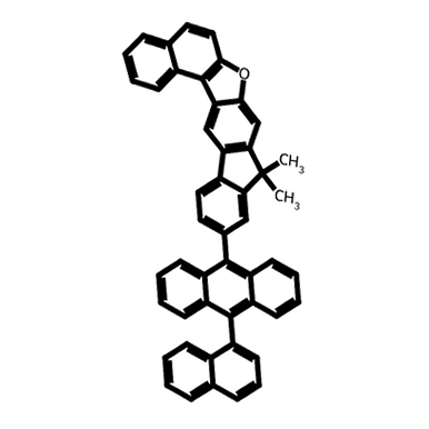 CC1(C)c2cc(-c3c4ccccc4c(-c4cccc5ccccc45)c4ccccc34)ccc2-c2cc3c(cc21)oc1ccc2ccccc2c13